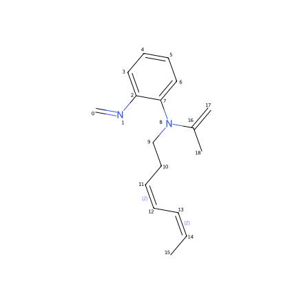 C=Nc1ccccc1N(CC/C=C\C=C/C)C(=C)C